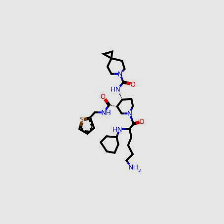 NCCCCC(NC1CCCCC1)C(=O)N1CC[C@@H](NC(=O)N2CCC3(CC2)CC3)[C@@H](C(=O)NCc2cccs2)C1